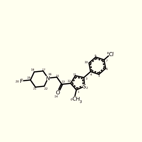 Cc1sc(-c2ccc(Cl)cc2)cc1C(=O)CN1CCC(F)CC1